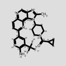 Cc1nc2cnc3ccc(-c4cnc(N)c(C(F)(F)F)c4)nc3c2n1C1CCN(C(=O)C2CC2)CC1